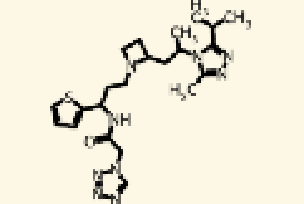 Cc1nnc(C(C)C)n1C(C)CC1CCN1CCC(NC(=O)Cn1cnnn1)c1cccs1